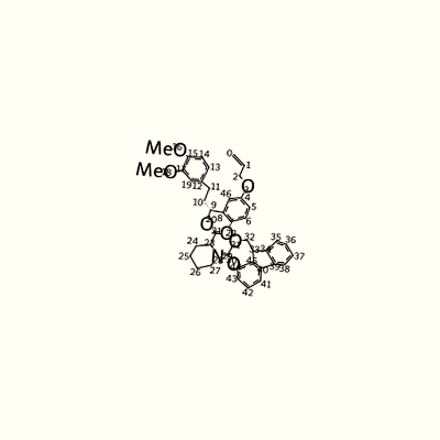 C=CCOc1cccc([C@@H](CCc2ccc(OC)c(OC)c2)OC(=O)C2CCCCN2C(=O)OCC2c3ccccc3-c3ccccc32)c1